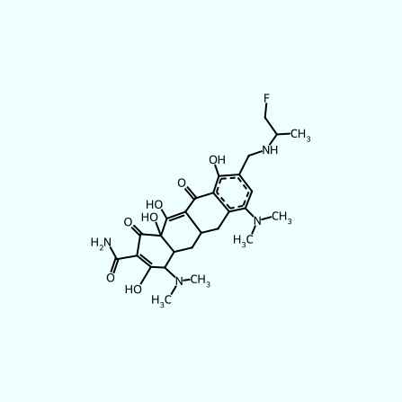 CC(CF)NCc1cc(N(C)C)c2c(c1O)C(=O)C1=C(O)C3(O)C(=O)C(C(N)=O)=C(O)C(N(C)C)C3CC1C2